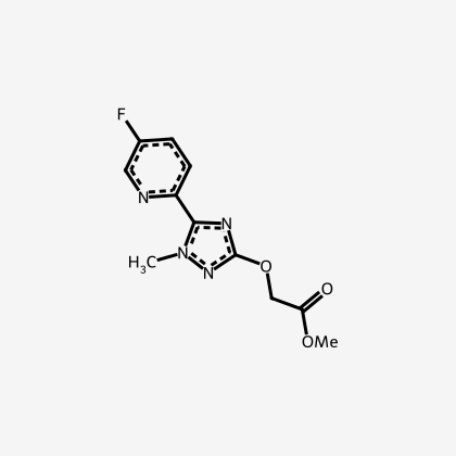 COC(=O)COc1nc(-c2ccc(F)cn2)n(C)n1